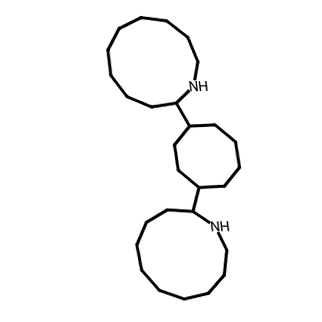 C1CCCCNC(C2CCCCC(C3CCCCCCCCCN3)CC2)CCCC1